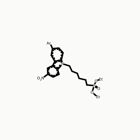 CCOP(=O)(CCCCCCn1c2ccc(C(C)=O)cc2c2cc([N+](=O)[O-])ccc21)OCC